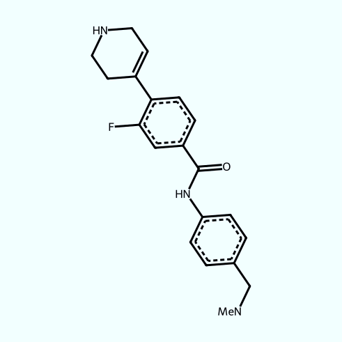 CNCc1ccc(NC(=O)c2ccc(C3=CCNCC3)c(F)c2)cc1